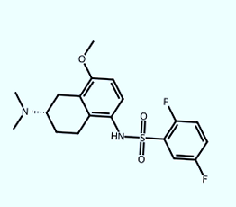 COc1ccc(NS(=O)(=O)c2cc(F)ccc2F)c2c1C[C@@H](N(C)C)CC2